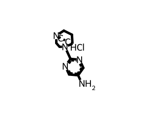 Cl.Nc1cnc(N2CCN3CCC2CC3)nc1